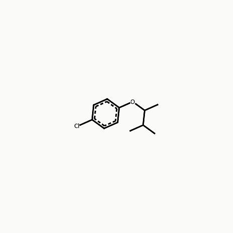 CC(C)C(C)Oc1ccc(Cl)cc1